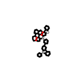 c1ccc(-n2c3ccccc3c3cc(-c4cccc(N(c5ccc6c(c5)oc5ccccc56)c5ccccc5-c5cccc6cccc(C7CCCCC7)c56)c4)ccc32)cc1